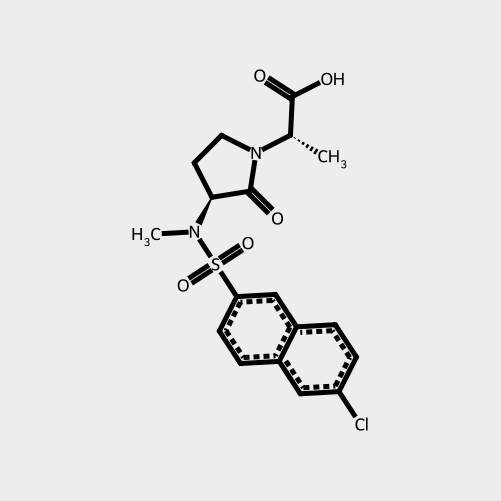 C[C@@H](C(=O)O)N1CC[C@H](N(C)S(=O)(=O)c2ccc3cc(Cl)ccc3c2)C1=O